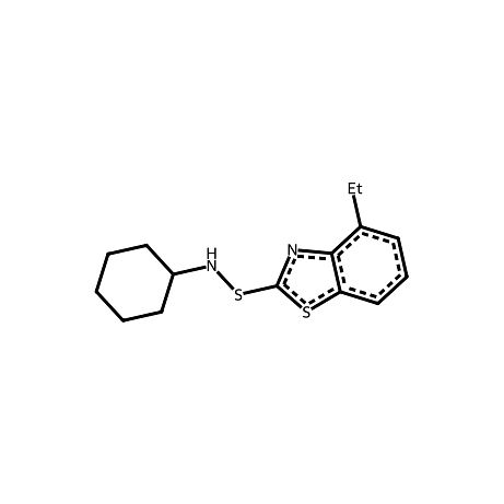 CCc1cccc2sc(SNC3CCCCC3)nc12